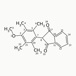 COc1c(C)c(C)c(C2C(=O)c3ccccc3C2=O)c(C)c1C